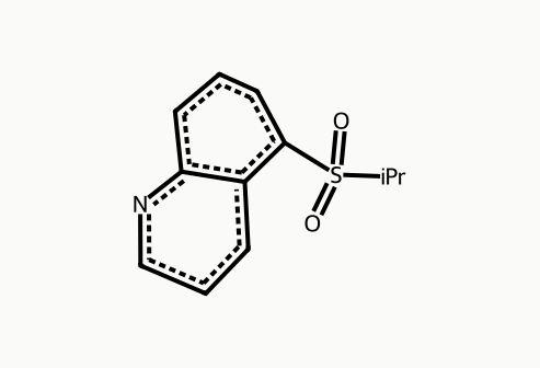 CC(C)S(=O)(=O)c1cccc2ncccc12